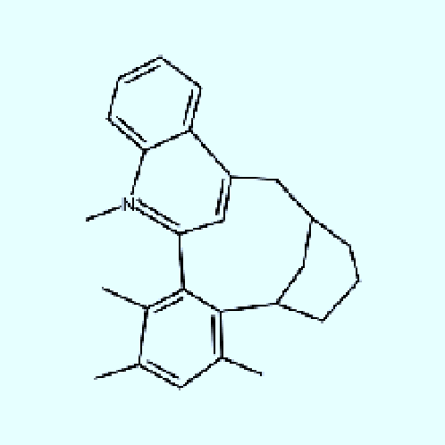 Cc1cc(C)c2c(c1C)-c1cc(c3ccccc3[n+]1C)CC1CCCC2C1